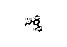 CCCC(N)c1cc(-c2ncc[nH]2)cc2c1OCO2